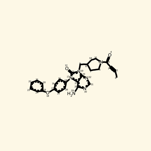 CC#CC(=O)N1CCC(Cn2c(=O)n(-c3ccc(Oc4ccccc4)cc3)c3c(N)ncnc32)CC1